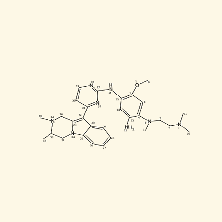 COc1cc(N(C)CCN(C)C)c(N)cc1Nc1nccc(-c2c3n(c4ccccc24)CC(C)N(C)C3)n1